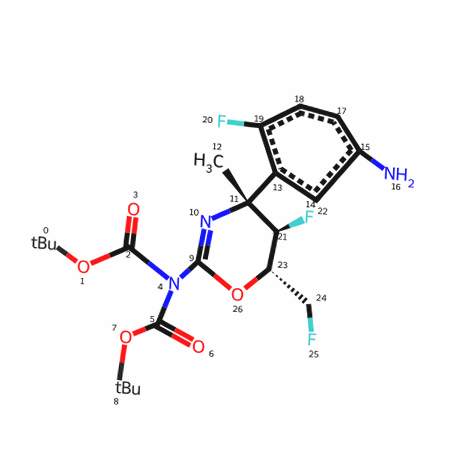 CC(C)(C)OC(=O)N(C(=O)OC(C)(C)C)C1=N[C@](C)(c2cc(N)ccc2F)[C@@H](F)[C@H](CF)O1